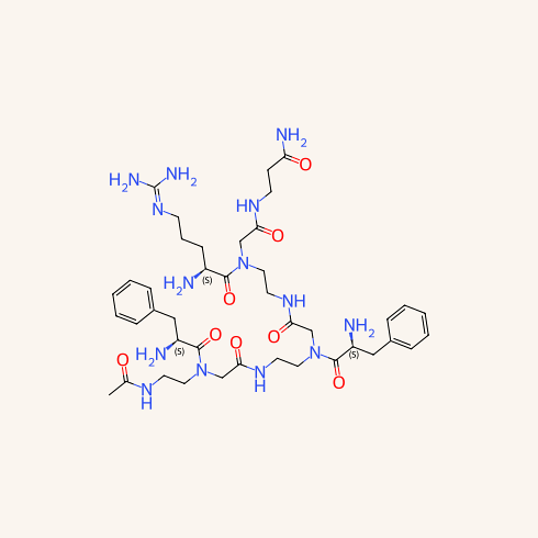 CC(=O)NCCN(CC(=O)NCCN(CC(=O)NCCN(CC(=O)NCCC(N)=O)C(=O)[C@@H](N)CCCN=C(N)N)C(=O)[C@@H](N)Cc1ccccc1)C(=O)[C@@H](N)Cc1ccccc1